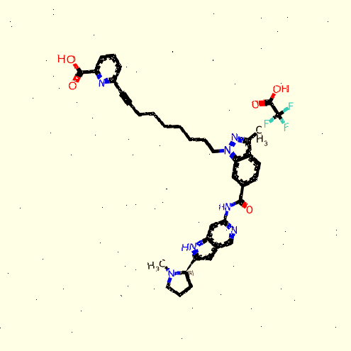 Cc1nn(CCCCCCCC#Cc2cccc(C(=O)O)n2)c2cc(C(=O)Nc3cc4[nH]c([C@H]5CCCN5C)cc4cn3)ccc12.O=C(O)C(F)(F)F